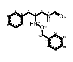 O=CNCC(Cc1ccccc1)NOCc1ccccc1